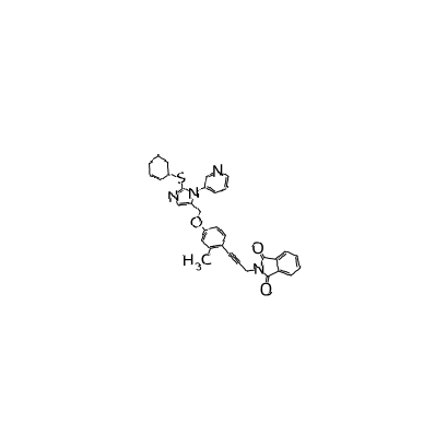 Cc1cc(OCc2cnc(SC3C=CCCC3)n2-c2cccnc2)ccc1C#CCN1C(=O)c2ccccc2C1=O